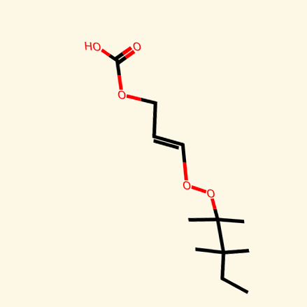 CCC(C)(C)C(C)(C)OOC=CCOC(=O)O